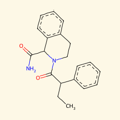 CCC(C(=O)N1CCc2c[c]ccc2C1C(N)=O)c1ccccc1